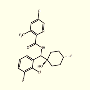 O=C(NC(c1cccc(F)c1Cl)[C@]1(O)CC[C@H](F)CC1)c1ncc(Cl)cc1C(F)(F)F